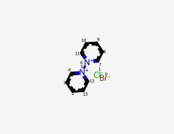 [Br-].[Cl-].c1cc[n+](-[n+]2ccccc2)cc1